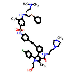 Cc1c(C(=O)NCCCN2CCN(C)CC2)c(-c2cccc(C#Cc3ccc(NS(=O)(=O)c4ccc(N[C@H](CCN(C)C)CSc5ccccc5)c([N+](=O)[O-])c4)cc3)c2)c(-c2ccc(F)cc2)n1CCO